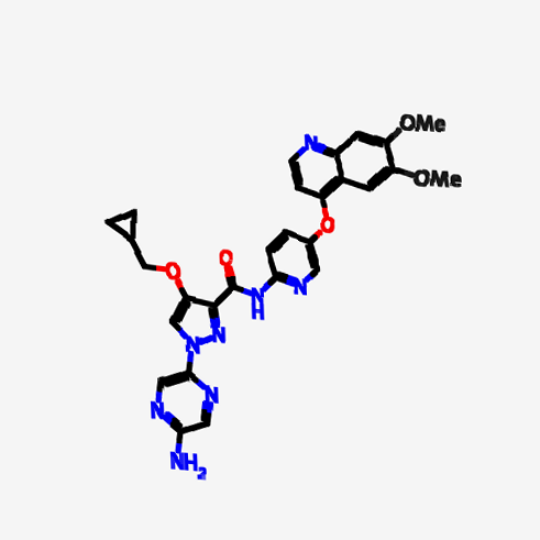 COc1cc2nccc(Oc3ccc(NC(=O)c4nn(-c5cnc(N)cn5)cc4OCC4CC4)nc3)c2cc1OC